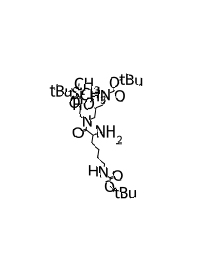 CC(C)(C)OC(=O)NCCCC[C@H](N)C(=O)N(CCO[Si](C)(C)C(C)(C)C)CC(O)CNC(=O)OC(C)(C)C